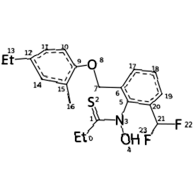 CCC(=S)N(O)c1c(COc2ccc(CC)cc2C)cccc1C(F)F